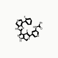 CC(C)C(=O)Nc1cncc(-c2ncc3[nH]nc(-c4nc5c(-c6ccccc6F)cncc5[nH]4)c3c2F)c1